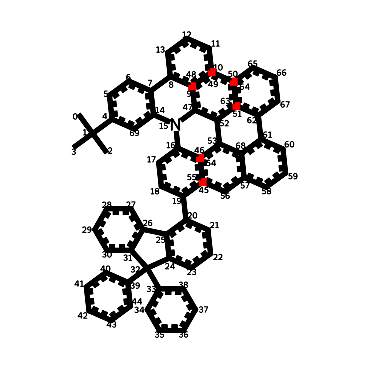 CC(C)(C)c1ccc(-c2ccccc2)c(N(c2ccc(-c3cccc4c3-c3ccccc3C4(c3ccccc3)c3ccccc3)cc2)c2ccccc2-c2cccc3cccc(-c4ccccc4)c23)c1